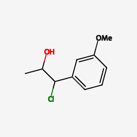 COc1cccc(C(Cl)C(C)O)c1